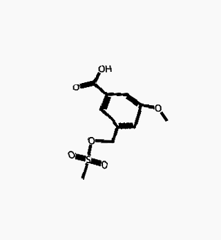 COc1cc(COS(C)(=O)=O)cc(C(=O)O)c1